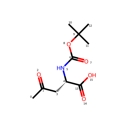 CC(=O)C[C@H](NC(=O)OC(C)(C)C)C(=O)O